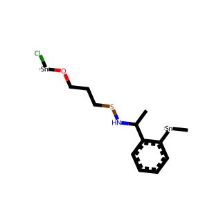 [CH3][Sn][c]1ccccc1C(C)NSCCC[O][Sn][Cl]